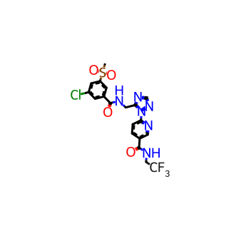 CS(=O)(=O)c1cc(Cl)cc(C(=O)NCc2ncnn2-c2ccc(C(=O)NCC(F)(F)F)cn2)c1